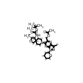 CC(=O)OCc1nc2c(I)nn(C3CCCCO3)c2nc1N1CCC2(CC1)CO[C@@H](C)[C@H]2NC(=O)OC(C)(C)C